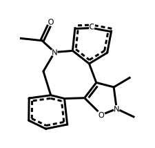 CC(=O)N1Cc2ccccc2C2=C(c3ccccc31)C(C)N(C)O2